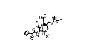 Cc1nnc(SCC2=C(C(=O)[O-])N3C(=O)C(NC(=O)C(=S=O)c4cccs4)[C@H]3SC2)s1.[K+]